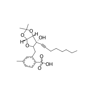 CCCCCCC#C[C@@]1(O)C(Cc2cc(C)ccc2S(=O)(=O)O)O[C@@H]2OC(C)(C)O[C@@H]21